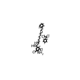 ClN(Cl)c1ccccc1.Nc1c(Cl)cc(C(O)CNCCCCCCOCCc2ccccn2)cc1Cl